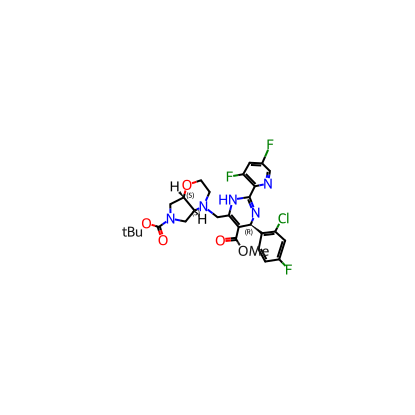 COC(=O)C1=C(CN2CCO[C@H]3CN(C(=O)OC(C)(C)C)C[C@@H]32)NC(c2ncc(F)cc2F)=N[C@H]1c1ccc(F)cc1Cl